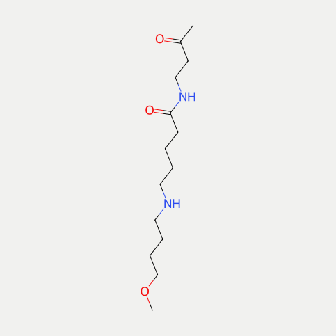 COCCCCNCCCCC(=O)NCCC(C)=O